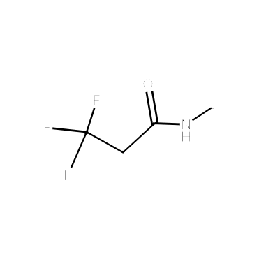 O=C(CC(F)(F)F)NI